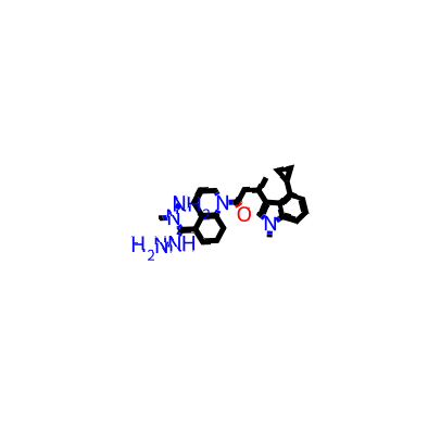 CC(CC(=O)N1CCCC2C(C(NN)N(C)N)CCCC21)c1cn(C)c2cccc(C3CC3)c12